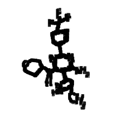 Cc1cc(-c2c(N)nc(-c3ccc(C(F)(F)F)cc3)nc2NC2CCOCC2)n[nH]1